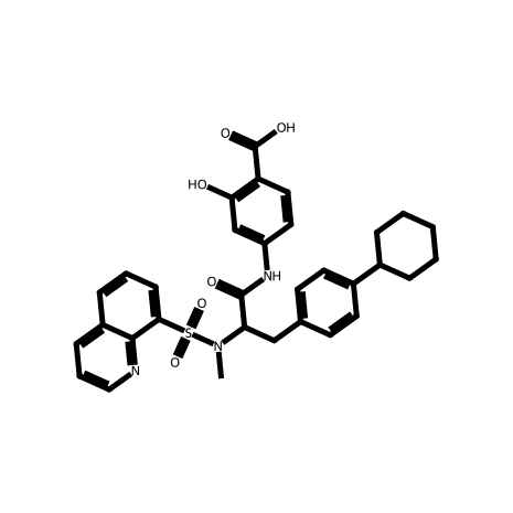 CN(C(Cc1ccc(C2CCCCC2)cc1)C(=O)Nc1ccc(C(=O)O)c(O)c1)S(=O)(=O)c1cccc2cccnc12